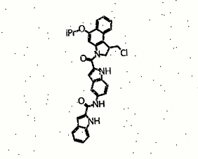 CC(C)Oc1cc2c(c3ccccc13)C(CCl)CN2C(=O)c1cc2cc(NC(=O)c3cc4ccccc4[nH]3)ccc2[nH]1